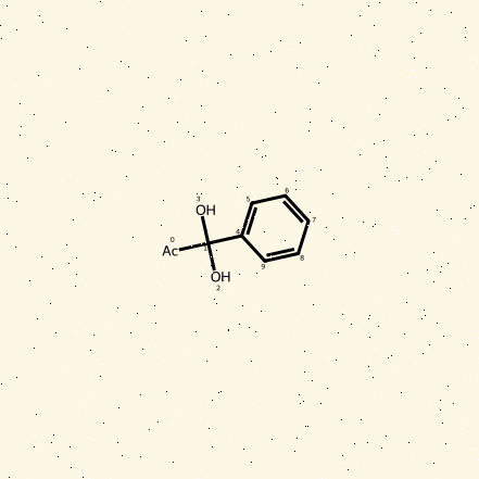 CC(=O)C(O)(O)c1ccccc1